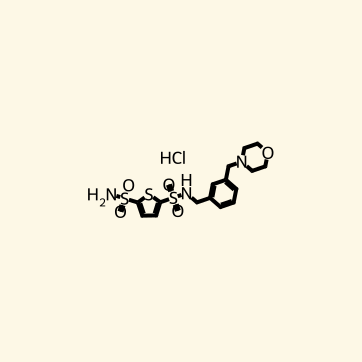 Cl.NS(=O)(=O)c1ccc(S(=O)(=O)NCc2cccc(CN3CCOCC3)c2)s1